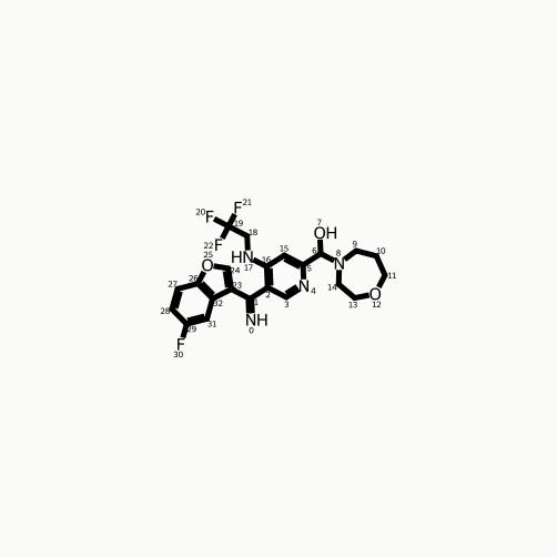 N=C(c1cnc(C(O)N2CCCOCC2)cc1NCC(F)(F)F)c1coc2ccc(F)cc12